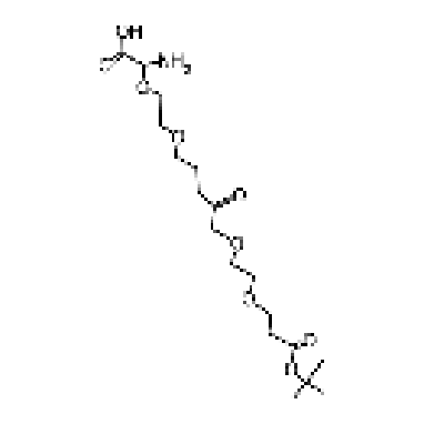 CC(C)(C)OC(=O)CCOCCOCC(=O)CCCOCCOC(N)C(=O)O